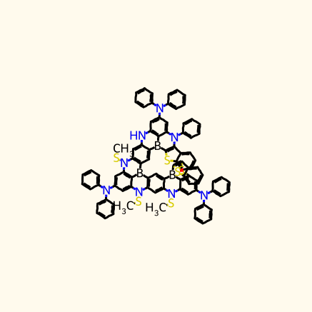 CSN1c2cc3c(cc2B2c4sc5ccccc5c4Sc4cc(N(c5ccccc5)c5ccccc5)cc1c42)B1c2cc4c(cc2N(SC)c2cc(N(c5ccccc5)c5ccccc5)cc(c21)N3SC)Nc1cc(N(c2ccccc2)c2ccccc2)cc2c1B4c1sc3ccccc3c1N2c1ccccc1